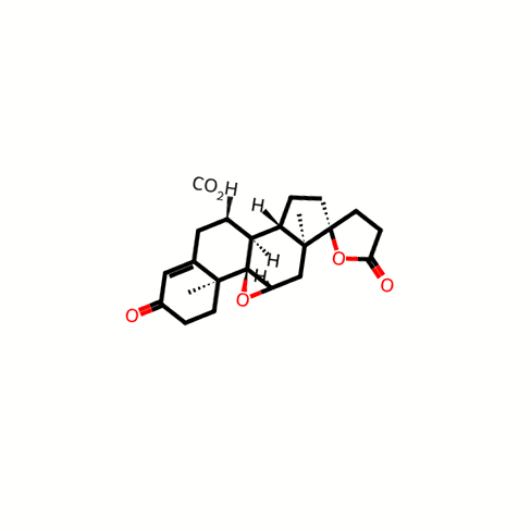 C[C@]12CCC(=O)C=C1C[C@@H](C(=O)O)[C@H]1[C@@H]3CC[C@@]4(CCC(=O)O4)[C@@]3(C)C[C@H]3O[C@@]132